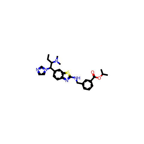 CCC(C(c1ccc2nc(NCc3cccc(C(=O)OC(C)C)c3)sc2c1)n1ccnc1)N(C)C